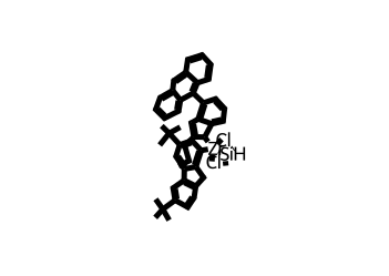 CCCC1=Cc2c(-c3c4ccccc4cc4ccccc34)cccc2[CH]1[Zr]([Cl])([Cl])([c]1cc(C(C)(C)C)cc2c1Cc1ccc(C(C)(C)C)cc1-2)[SiH](C)C